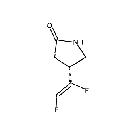 O=C1C[C@@H](C(F)=CF)CN1